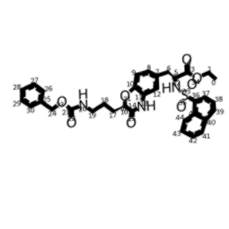 CCOC(=O)[C@H](Cc1ccc2c(c1)NC(=O)[C@@H](CCCNC(=O)OCc1ccccc1)O2)NS(=O)(=O)c1cccc2ccccc12